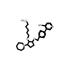 CCCc1ccncc1-c1ccc(COC2CCC(N3CCCCCC3)C2OCCCCCC(=O)O)cc1